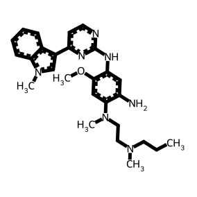 CCCN(C)CCN(C)c1cc(OC)c(Nc2nccc(-c3cn(C)c4ccccc34)n2)cc1N